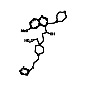 COc1ccc2ncc(CN3CCOCC3)c(C(O)CCC3(CC(=O)O)CCN(CCSc4cccs4)CC3)c2c1